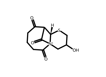 O=C1CCCC(=O)[N+]23CC(O)CS[C@H]2C1C3=O